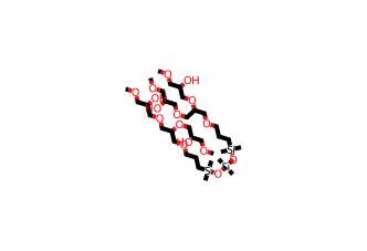 COCC(O)COCC(COCCC[Si](C)(C)O[Si](C)(C)O[Si](C)(C)CCCOCC(COCC(O)COC)OCC(O)COC)OCC(O)COC